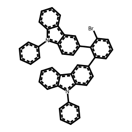 Brc1cccc(-c2ccc3c(c2)c2ccccc2n3-c2ccccc2)c1-c1ccc2c(c1)c1ccccc1n2-c1ccccc1